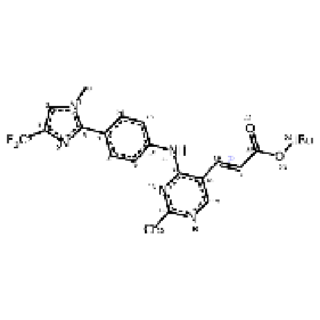 Cn1cc(C(F)(F)F)nc1-c1ccc(Nc2nc(Cl)ncc2/C=C/C(=O)OC(C)(C)C)cc1